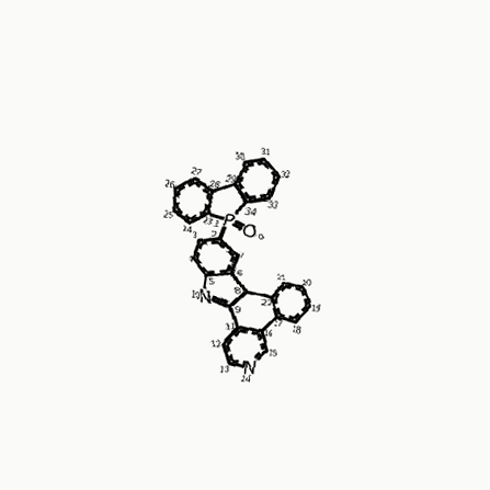 O=P1(c2ccc3c(c2)C2C(=N3)c3ccncc3-c3ccccc32)c2ccccc2-c2ccccc21